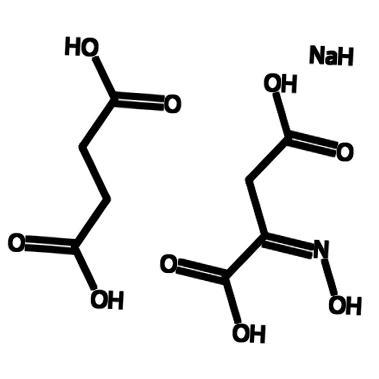 O=C(O)CC(=NO)C(=O)O.O=C(O)CCC(=O)O.[NaH]